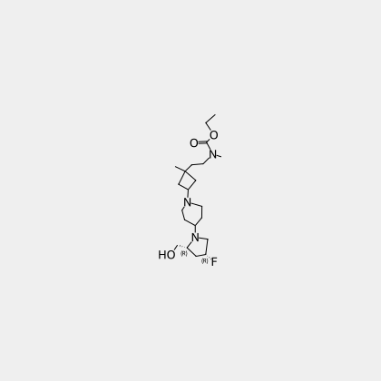 CCOC(=O)N(C)CCC1(C)CC(N2CCC(N3C[C@H](F)C[C@@H]3CO)CC2)C1